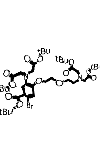 CC(C)(C)OC(=O)CN(CCOCCOc1cc(Br)c(C(=O)OC(C)(C)C)cc1N(CC(=O)OC(C)(C)C)CC(=O)OC(C)(C)C)CC(=O)OC(C)(C)C